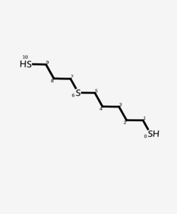 SCCCCCSCCCS